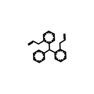 C=CCc1ccccc1C(c1ccccc1)c1ccccc1CC=C